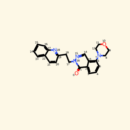 O=c1c2cccc(N3CCOCC3)c2cnn1CCc1ccc2ccccc2n1